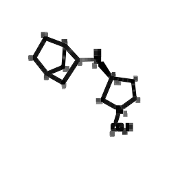 O=C(O)N1CC[C@H](NC2CC3CCC2C3)C1